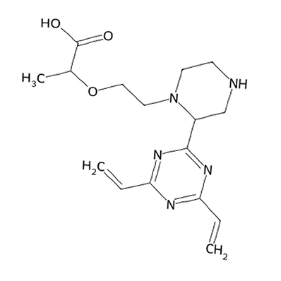 C=Cc1nc(C=C)nc(C2CNCCN2CCOC(C)C(=O)O)n1